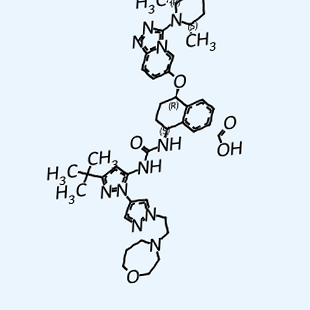 C[C@@H]1CCC[C@H](C)N1c1nnc2ccc(O[C@@H]3CC[C@H](NC(=O)Nc4cc(C(C)(C)C)nn4-c4cnn(CCN5CCCOCC5)c4)c4ccccc43)cn12.O=CO